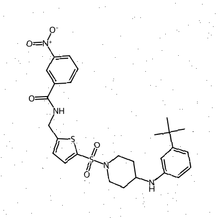 CC(C)(C)c1cccc(NC2CCN(S(=O)(=O)c3ccc(CNC(=O)c4cccc([N+](=O)[O-])c4)s3)CC2)c1